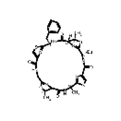 CCC(C)[C@@H]1NC(=O)c2csc(n2)[C@@H](C)NC(=O)C2N=C(CNC(=O)c3csc(n3)[C@@H](Cc3ccccc3)NC(=O)[C@H]3N=C1O[C@@H]3C)O[C@@H]2C